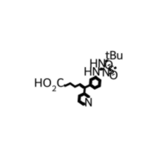 CC(C)(C)CNC(=NS(C)(=O)=O)Nc1cccc(C(=CCCCC(=O)O)c2cccnc2)c1